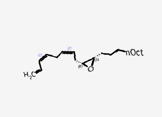 C=C/C=C\C/C=C\C[C@H]1O[C@H]1CCCCCCCCCCC